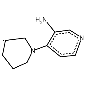 Nc1cnccc1N1C[CH]CCC1